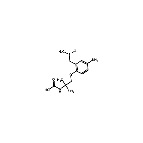 C[S+]([O-])Cc1cc(N)ccc1OCC(C)(C)NC(=O)O